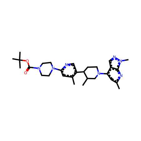 Cc1cc(N2CCC(c3cnc(N4CCN(C(=O)OC(C)(C)C)CC4)cc3C)C(C)C2)c2cnn(C)c2n1